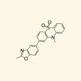 Cc1nc2cc(-c3ccc4c(c3)N(C)c3ccccc3S4(=O)=O)ccc2o1